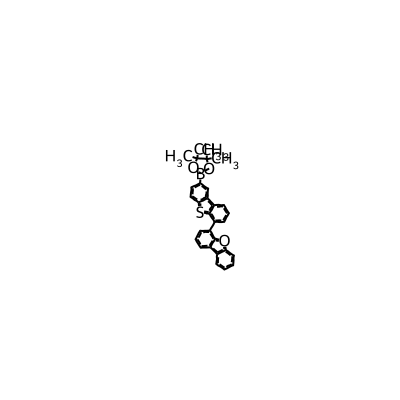 CC1(C)OB(c2ccc3sc4c(-c5cccc6c5oc5ccccc56)cccc4c3c2)OC1(C)C